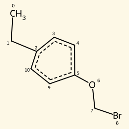 CCc1ccc(OCBr)cc1